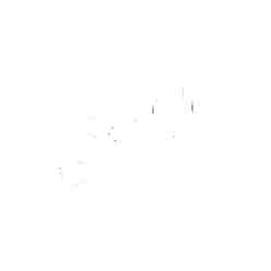 CC1(C)[C@H](C=C(Cl)Cl)[C@@H]1C(=O)OCc1cccc(Oc2ccccc2)n1